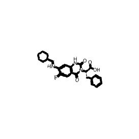 O=C(O)[C@H](Cc1ccccc1)n1c(=O)[nH]c2cc(NCC3CCCCC3)c(F)cc2c1=O